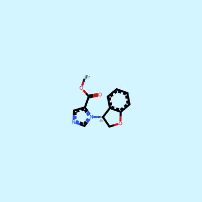 CC(C)OC(=O)c1cncn1[C@@H]1COc2ccccc21